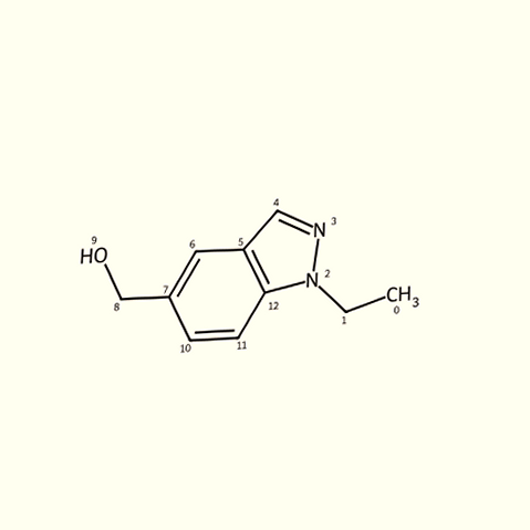 CCn1ncc2cc(CO)ccc21